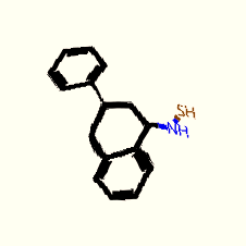 SNC1C[C@H](c2ccccc2)Cc2ccccc21